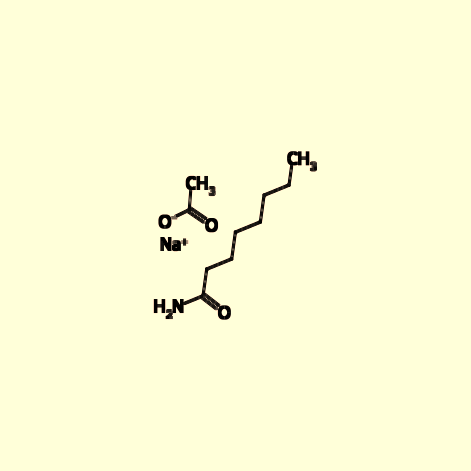 CC(=O)[O-].CCCCCCCC(N)=O.[Na+]